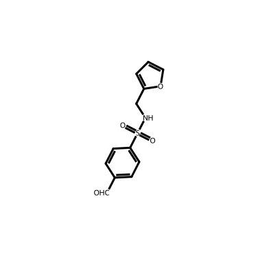 O=Cc1ccc(S(=O)(=O)NCc2ccco2)cc1